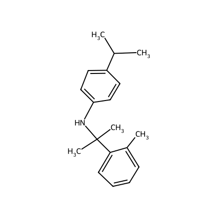 Cc1ccccc1C(C)(C)Nc1ccc(C(C)C)cc1